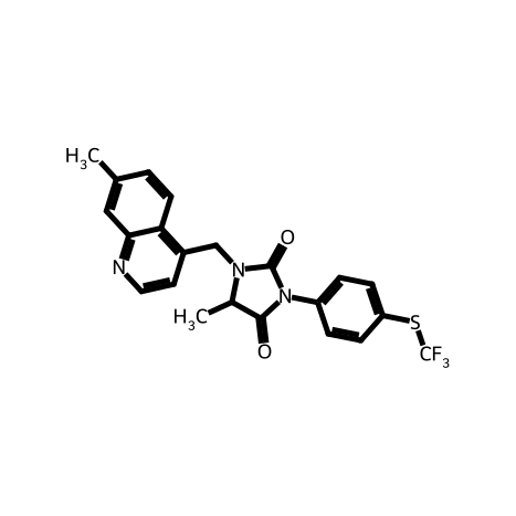 Cc1ccc2c(CN3C(=O)N(c4ccc(SC(F)(F)F)cc4)C(=O)C3C)ccnc2c1